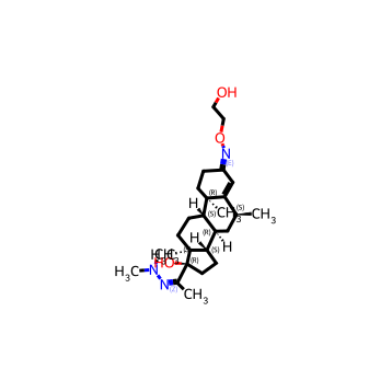 C/C(=N/N(C)C)[C@@]1(O)CC[C@H]2[C@@H]3C[C@H](C)C4=C/C(=N/OCCO)CC[C@]4(C)[C@H]3CC[C@@]21C